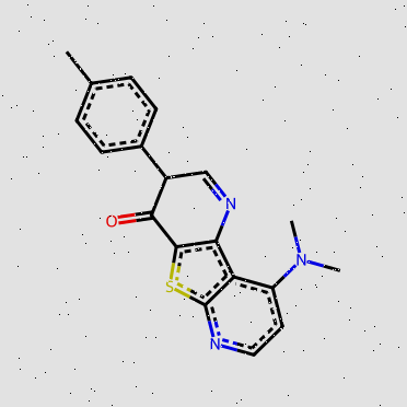 Cc1ccc(C2C=Nc3c(sc4nccc(N(C)C)c34)C2=O)cc1